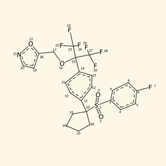 O=S(=O)(c1ccc(F)cc1)C1(c2ccc(C(OCc3ccno3)(C(F)(F)F)C(F)(F)F)cc2)CCCC1